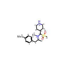 CCN(C(C)Cc1ccc(SC)cc1)C(C1CCNCC1)S(C)(=O)=O